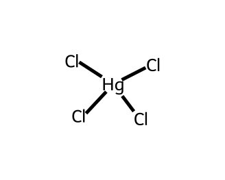 [Cl][Hg]([Cl])([Cl])[Cl]